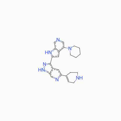 C1=C(c2cc3c(-c4cc5c(N6CCCCC6)cncc5[nH]4)n[nH]c3cn2)CCNC1